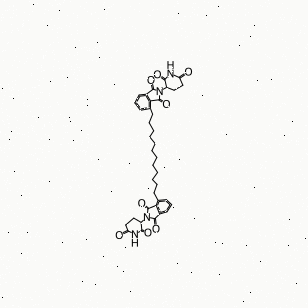 O=C1CCC(N2C(=O)c3cccc(CCCCCCCCCCCCc4cccc5c4C(=O)N(C4CCC(=O)NC4=O)C5=O)c3C2=O)C(=O)N1